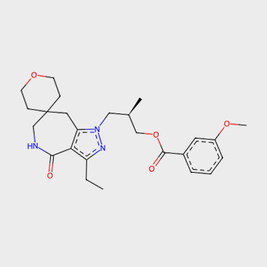 CCc1nn(C[C@@H](C)COC(=O)c2cccc(OC)c2)c2c1C(=O)NCC1(CCOCC1)C2